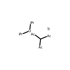 CC(=O)C(C(C)=O)C(C)=O.CC(C)OC(C)C.[Ti]